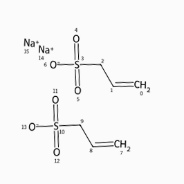 C=CCS(=O)(=O)[O-].C=CCS(=O)(=O)[O-].[Na+].[Na+]